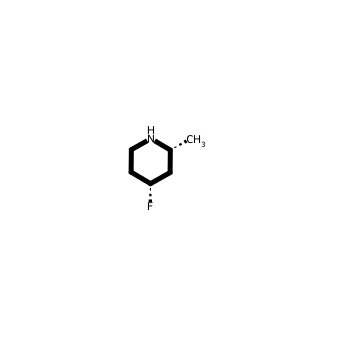 C[C@@H]1C[C@H](F)CCN1